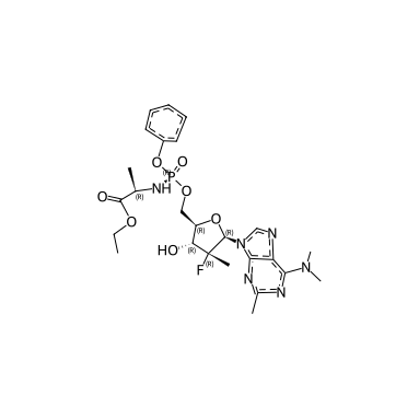 CCOC(=O)[C@@H](C)N[P@@](=O)(OC[C@H]1O[C@@H](n2cnc3c(N(C)C)nc(C)nc32)[C@](C)(F)[C@@H]1O)Oc1ccccc1